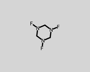 FN1CN(F)CN(F)C1